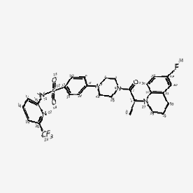 C[C@@H](C(=O)N1CCN(c2ccc(S(=O)(=O)Nc3cccc(C(F)(F)F)n3)cc2)CC1)N1CCCc2cc(F)ccc21